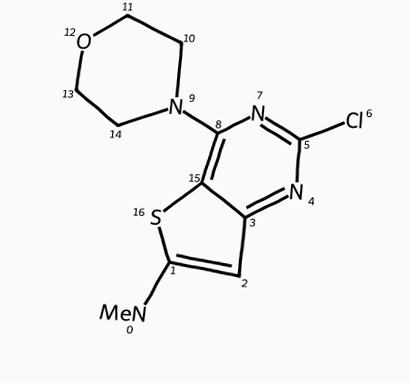 CNc1cc2nc(Cl)nc(N3CCOCC3)c2s1